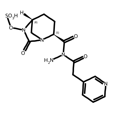 NN(C(=O)Cc1cccnc1)C(=O)[C@@H]1CC[C@@H]2CN1C(=O)N2OS(=O)(=O)O